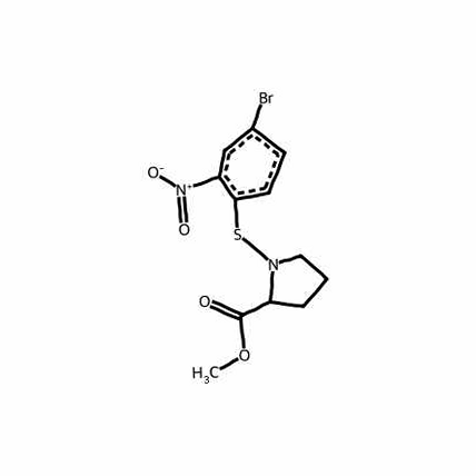 COC(=O)C1CCCN1Sc1ccc(Br)cc1[N+](=O)[O-]